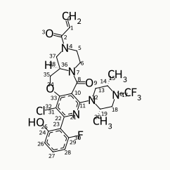 C=CC(=O)N1CCN2C(=O)c3c(N4C[C@H](C)N(C(F)(F)F)C[C@@H]4C)nc(-c4c(O)cccc4F)c(Cl)c3OC[C@H]2C1